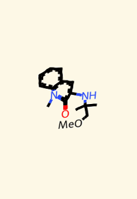 COCC(C)(C)Nc1cc2ccccc2n(C)c1=O